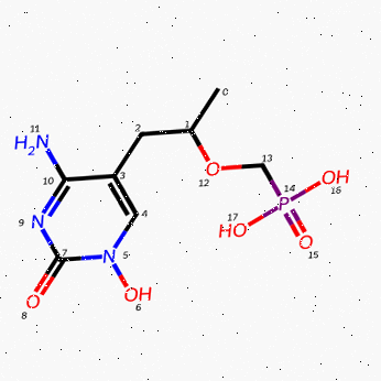 CC(Cc1cn(O)c(=O)nc1N)OCP(=O)(O)O